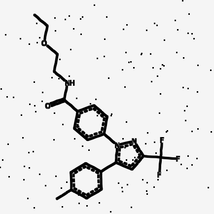 CCOCCNC(=O)c1ccc(-n2nc(C(F)(F)F)cc2-c2ccc(C)cc2)cc1